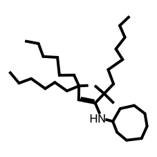 CCCCCCCC(C)(C)/C(=C\C(C)(CCCCCC)CCCCCC)NC1CCCCCCC1